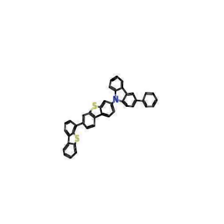 c1ccc(-c2ccc3c(c2)c2ccccc2n3-c2ccc3c(c2)sc2cc(-c4cccc5c4sc4ccccc45)ccc23)cc1